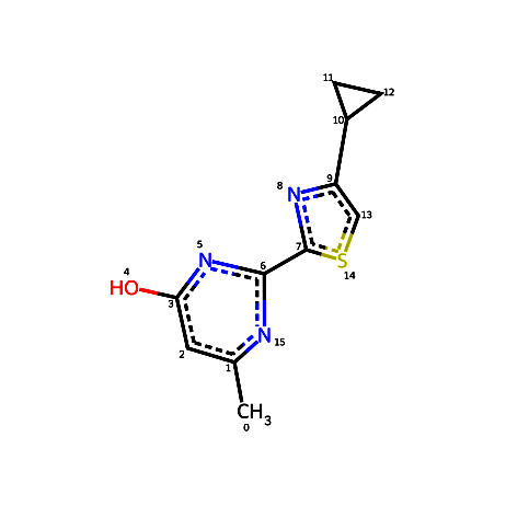 Cc1cc(O)nc(-c2nc(C3CC3)cs2)n1